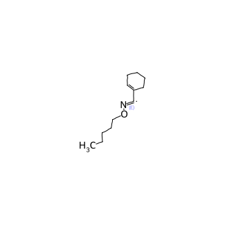 CCCCCO/N=[C]/C1=CCCCC1